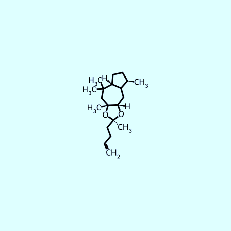 C=CCC[C@]1(C)O[C@H]2CC3[C@H](C)CC[C@H]3C(C)(C)C[C@@]2(C)O1